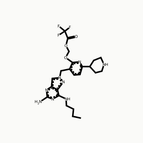 CCCCNc1nc(N)nc2cn(Cc3ccc(C4CCNCC4)nc3OCOC(=O)C(F)(F)F)nc12